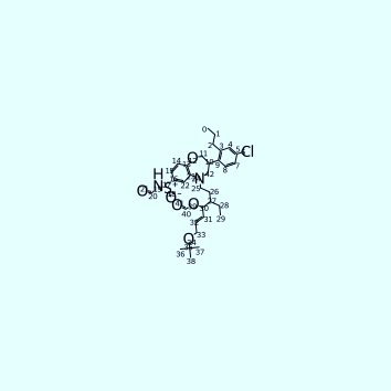 CCCc1cc(Cl)ccc1C1COc2ccc([S+]([O-])NC=O)cc2N(CCC(CC)C(/C=C/COC(C)(C)C)OC=O)C1